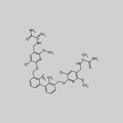 COc1nc(OCc2cccc(-c3cccc(COc4nc(OC)c(CN[C@H](C)C(N)=O)cc4Cl)c3C)c2C)c(Cl)cc1CN[C@H](C)C(N)=O